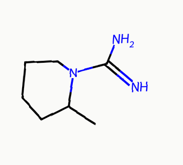 CC1CCCCN1C(=N)N